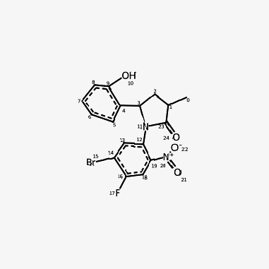 CC1CC(c2ccccc2O)N(c2cc(Br)c(F)cc2[N+](=O)[O-])C1=O